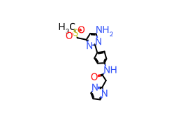 CS(=O)(=O)Cc1cc(N)nc(-c2ccc(NC(=O)Cc3ncccn3)cc2)n1